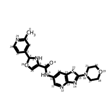 Cc1cc(C2NC(C(=O)Nc3cnc4nc(N5CCOCC5)sc4c3)=CO2)ccn1